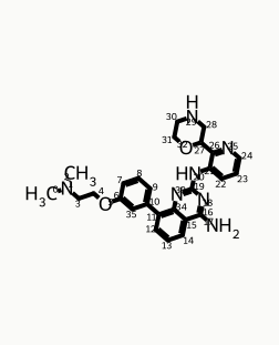 CN(C)CCOc1cccc(-c2cccc3c(N)nc(Nc4cccnc4C4CNCCO4)nc23)c1